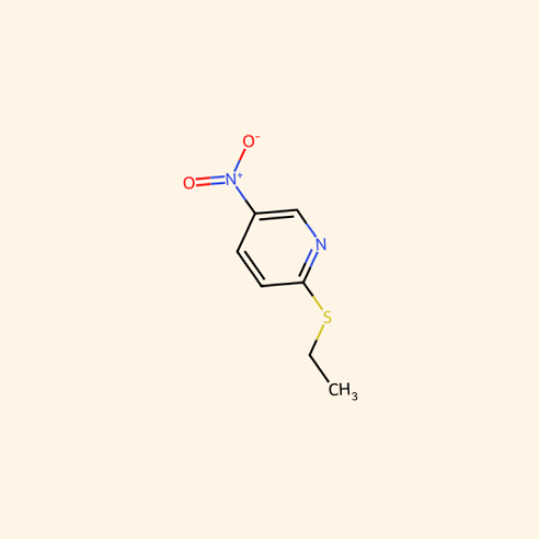 CCSc1ccc([N+](=O)[O-])cn1